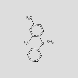 FC(F)(F)c1ccc(Oc2ccccc2)c(C(F)(F)F)c1.O